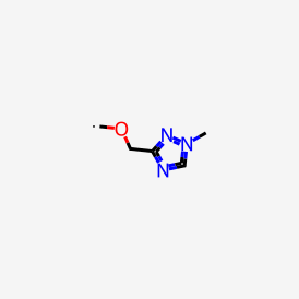 [CH2]OCc1ncn(C)n1